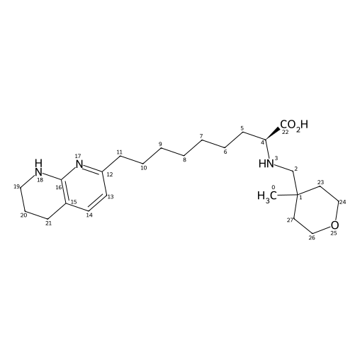 CC1(CN[C@@H](CCCCCCCc2ccc3c(n2)NCCC3)C(=O)O)CCOCC1